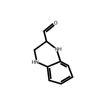 O=[C]C1CNc2ccccc2N1